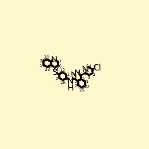 Clc1ccc(-c2nnc(Nc3ccc(Sc4ccnc5ccccc45)cc3)c3ccccc23)nc1